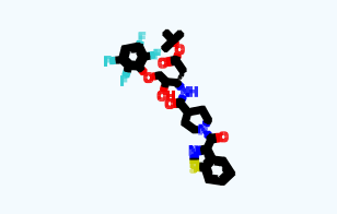 CC(C)(C)OC(=O)C[C@H](NC(=O)C1CCN(C(=O)c2nsc3ccccc23)CC1)C(O)COc1c(F)c(F)cc(F)c1F